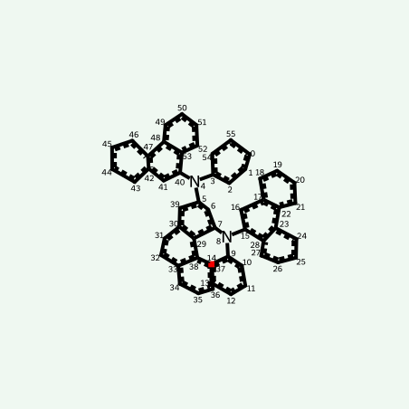 c1ccc(N(c2cc(N(c3ccccc3)c3cc4ccccc4c4ccccc34)c3c(ccc4ccccc43)c2)c2cc3ccccc3c3ccccc23)cc1